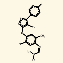 CCN(C)/C=N\c1cc(Cl)c(Oc2snc(-c3ccc(F)cc3)c2C#N)cc1C